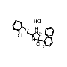 C[C@@]1(c2ccccc2)N=C(COc2ccccc2Cl)N[C@@H]1c1ccccc1.Cl